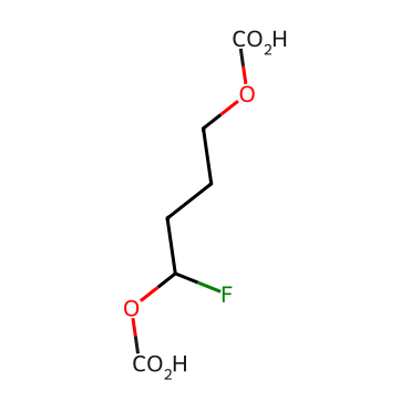 O=C(O)OCCCC(F)OC(=O)O